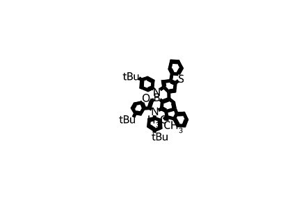 CC(C)(C)c1ccc(N2B3c4oc5ccc(C(C)(C)C)cc5c4N(c4ccc(C(C)(C)C)cc4)c4c3c(cc3c4C(C)(C)c4ccccc4-3)-c3cc4sc5ccccc5c4cc32)cc1